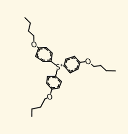 CCCCOc1ccc([S+](c2ccc(OCCCC)cc2)c2ccc(OCCCC)cc2)cc1